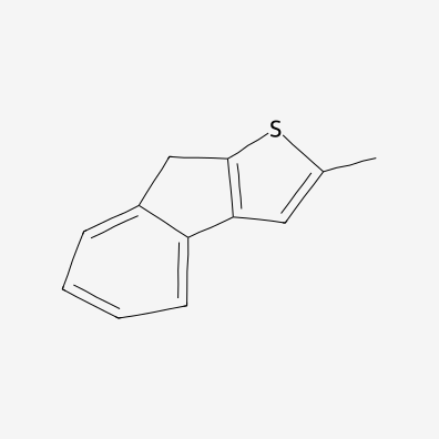 Cc1cc2c(s1)Cc1ccccc1-2